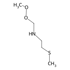 COOCNCCSC